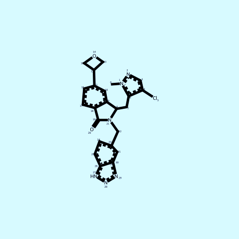 Cn1ncc(Cl)c1CC1c2cc(C3COC3)ccc2C(=O)N1Cc1ccc2[nH]nnc2c1